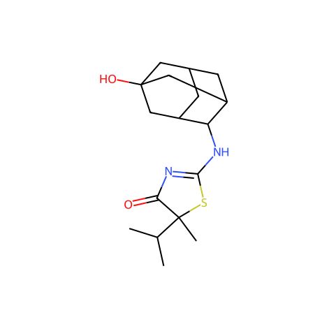 CC(C)C1(C)SC(NC2C3CC4CC2CC(O)(C4)C3)=NC1=O